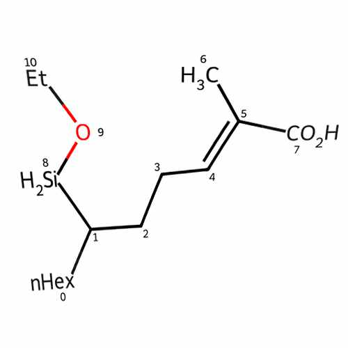 CCCCCCC(CCC=C(C)C(=O)O)[SiH2]OCC